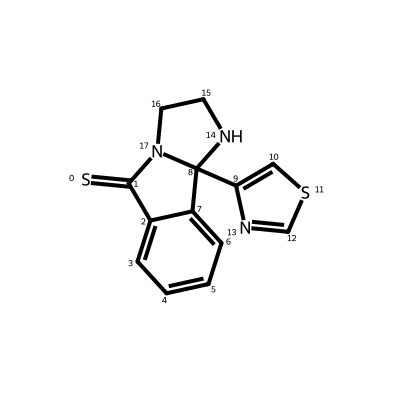 S=C1c2ccccc2C2(c3cscn3)NCCN12